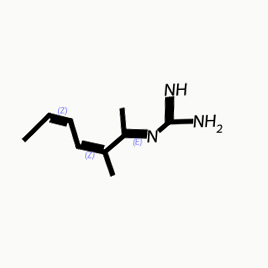 C\C=C/C=C(C)\C(C)=N\C(=N)N